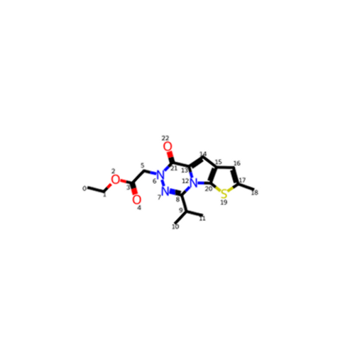 CCOC(=O)Cn1nc(C(C)C)n2c(cc3cc(C)sc32)c1=O